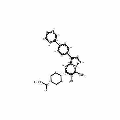 Nc1c(Br)c([C@H]2CC[C@@H](C(F)C(=O)O)CC2)nc2c(-c3ccc(-c4cnccn4)nc3)cnn12